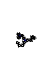 c1ccc(-c2cccc(-c3cccc(-c4ccc(N(c5ccc(-c6cccc(-c7cccc8ccccc78)c6)cc5)c5ccc(-c6cccc(-n7c8ccccc8c8ccccc87)c6)cc5)cc4)c3)c2)cc1